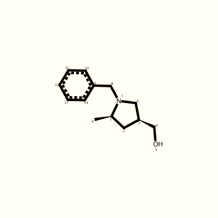 C[C@@H]1C[C@H](CO)CN1Cc1ccccc1